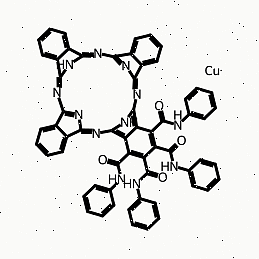 O=C(Nc1ccccc1)c1c(C(=O)Nc2ccccc2)c(C(=O)Nc2ccccc2)c2c3nc4nc(nc5[nH]c(nc6nc(nc([nH]3)c2c1C(=O)Nc1ccccc1)-c1ccccc1-6)c1ccccc51)-c1ccccc1-4.[Cu]